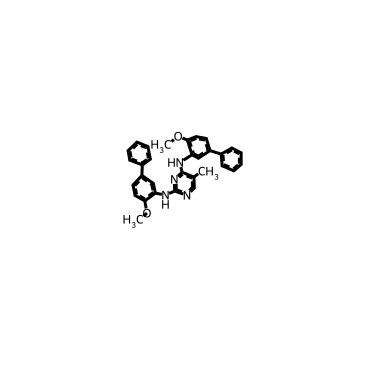 COc1ccc(-c2ccccc2)cc1Nc1ncc(C)c(Nc2cc(-c3ccccc3)ccc2OC)n1